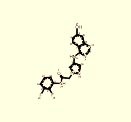 O=C(Cn1cc(Nc2ncnc3cc(O)ccc23)cn1)Nc1cccc(F)c1F